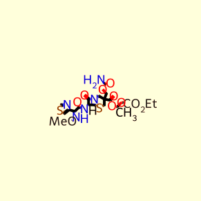 CCOC(=O)OC(C)OC(=O)C1(COC(N)=O)CS[C@@H]2C(NC(=O)C(=NOC)c3cscn3)C(=O)N2C1